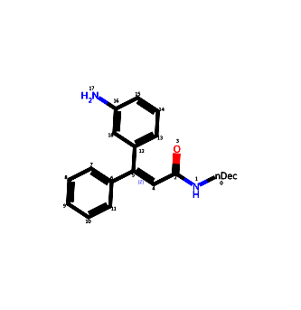 CCCCCCCCCCNC(=O)/C=C(/c1ccccc1)c1cccc(N)c1